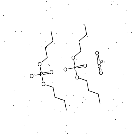 CCCCOP(=O)([O-])OCCCC.CCCCOP(=O)([O-])OCCCC.[O]=[U+2]=[O]